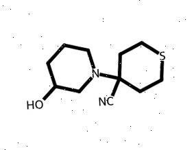 N#CC1(N2CCCC(O)C2)CCSCC1